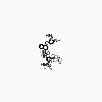 CNC(=O)c1cc(NC(=O)NC2CCC(Oc3ccc(=N)n(C=N)c3)c3ccccc32)cc(C(C)(C)C)n1